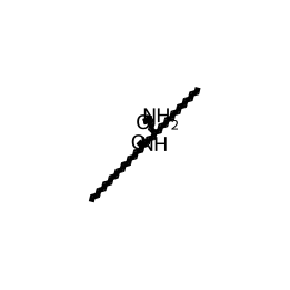 CCCCCCCCCCCCCCCCCC(=O)NCCC(CCCCCCCCCCCCCC)CCC(N)=O